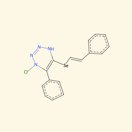 ClN1N=NNC([Se]C=Cc2ccccc2)=C1c1ccccc1